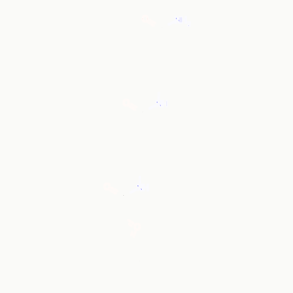 NC(=O)c1ccc(NC(=O)c2ccc(NC(=O)c3cc4ccccc4o3)cc2)cc1